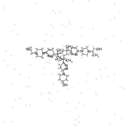 CC(CO)N1CCN(c2ccc(C(C)(CCC(C)(C)c3ccc(N4CCC(O)CC4)nn3)CCC(C)(C)c3ccc(N4CCN(CC(C)(C)C)CC4)nn3)nn2)CC1